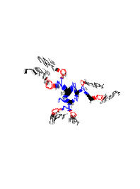 CCCOCN(OCCC)c1nc(N(OCCC)OCCC)nc(N(OCCC)OCCC)n1